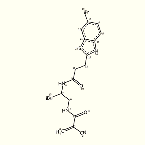 C=C(C#N)C(=O)NCC(NC(=O)CCc1nc2ccc(C(C)C)cc2s1)C(C)CC